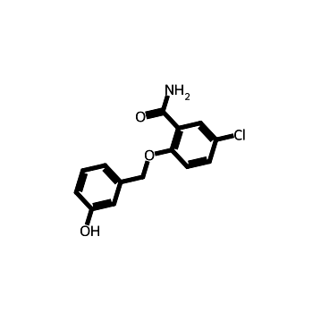 NC(=O)c1cc(Cl)ccc1OCc1cccc(O)c1